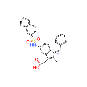 CC1=C(CC(=O)O)c2cc(NS(=O)(=O)c3ccc4ccccc4c3)ccc2/C1=C\c1ccccc1